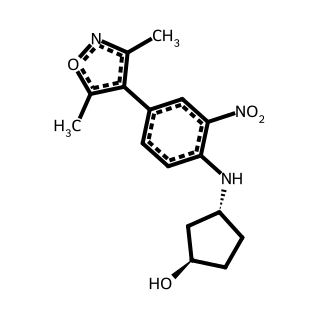 Cc1noc(C)c1-c1ccc(N[C@@H]2CC[C@@H](O)C2)c([N+](=O)[O-])c1